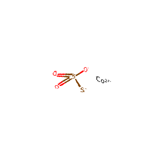 O=S(=O)([O-])[S-].[Co+2]